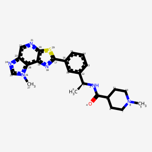 C[C@H](NC(=O)C1CCN(C)CC1)c1cccc(-c2nc3c(ncc4ncn(C)c43)s2)c1